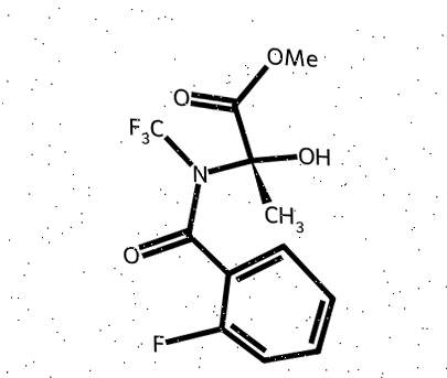 COC(=O)[C@](C)(O)N(C(=O)c1ccccc1F)C(F)(F)F